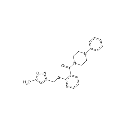 Cc1cc(CSc2ncccc2C(=O)N2CCN(c3ccccc3)CC2)no1